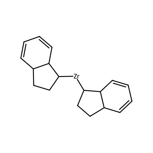 C1=CC2CC[CH]([Zr][CH]3CCC4C=CC=CC43)C2C=C1